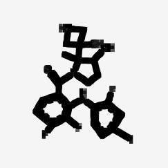 CC1(C2(O)CNC2)C(O)CCN1C(=O)c1ccc(F)c(F)c1Nc1ccc(I)cc1F